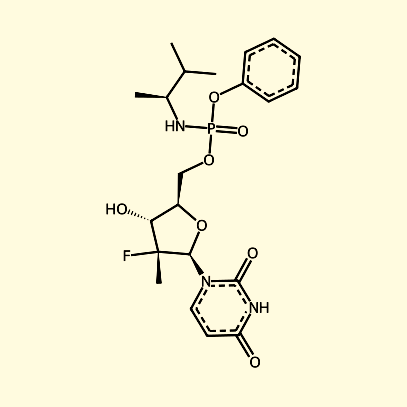 CC(C)[C@H](C)NP(=O)(OC[C@H]1O[C@@H](n2ccc(=O)[nH]c2=O)[C@](C)(F)[C@@H]1O)Oc1ccccc1